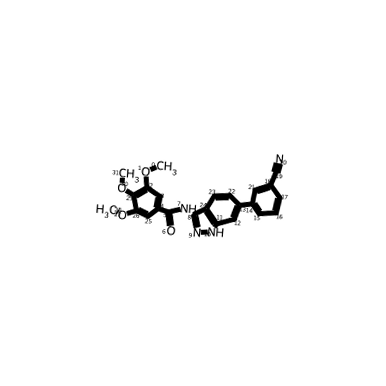 COc1cc(C(=O)Nc2n[nH]c3cc(-c4cccc(C#N)c4)ccc23)cc(OC)c1OC